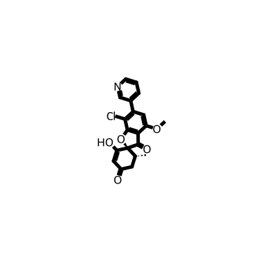 COc1cc(-c2cccnc2)c(Cl)c2c1C(=O)[C@@]1(O2)C(O)=CC(=O)C[C@H]1C